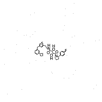 O=C(NCCc1cc(Cc2cccc(Cl)c2)cs1)[C@H](O)[C@@H](O)C(=O)N1CCCC1c1ccc(F)cc1